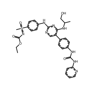 CCOC(=O)N=S(C)(=O)c1ccc(Nc2ncc(-c3ccc(NC(=O)Nc4ccccn4)cc3)c(NC(C)CO)n2)cc1